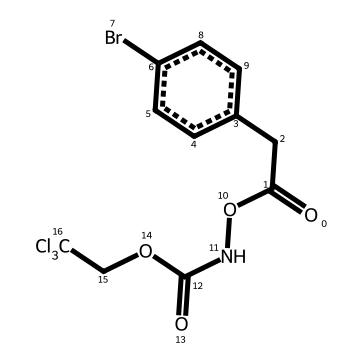 O=C(Cc1ccc(Br)cc1)ONC(=O)OCC(Cl)(Cl)Cl